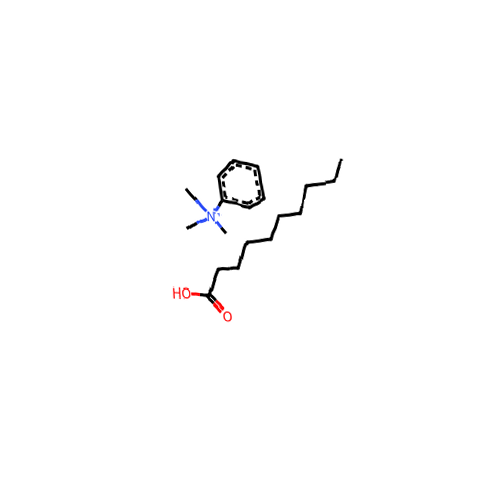 CCCCCCCCCC(=O)O.C[N+](C)(C)c1ccccc1